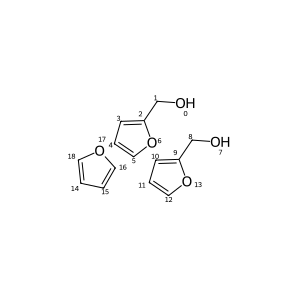 OCc1ccco1.OCc1ccco1.c1ccoc1